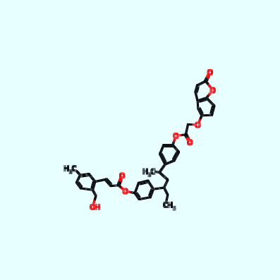 CCC(CC(C)c1ccc(OC(=O)COc2ccc3oc(=O)ccc3c2)cc1)c1ccc(OC(=O)/C=C/c2cc(C)ccc2CO)cc1